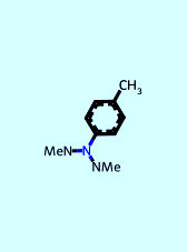 CNN(NC)c1ccc(C)cc1